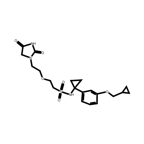 O=C1CN(CCOCCS(=O)(=O)NC2(c3cccc(OCC4CC4)c3)CC2)C(=O)N1